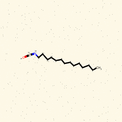 CCCCCCCCCCCCC[CH]N=C=O